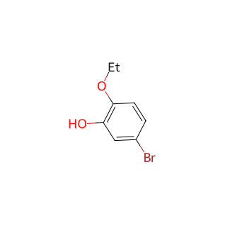 CCOc1ccc(Br)cc1O